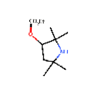 CCOC(=O)OC1CC(C)(C)NC1(C)C